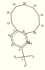 CC(C)(C)c1ccc2c(n1)CCCCCCCC2